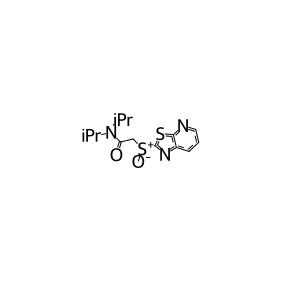 CC(C)N(C(=O)C[S+]([O-])c1nc2cccnc2s1)C(C)C